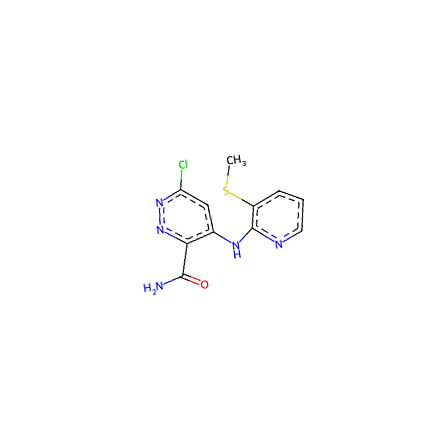 CSc1cccnc1Nc1cc(Cl)nnc1C(N)=O